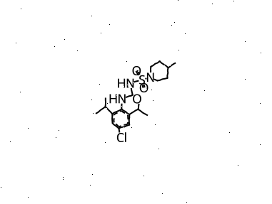 CC1CCN(S(=O)(=O)NC(=O)Nc2c(C(C)C)cc(Cl)cc2C(C)C)CC1